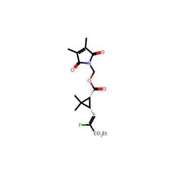 CCOC(=O)C(F)=C[C@H]1[C@@H](C(=O)OCN2C(=O)C(C)=C(C)C2=O)C1(C)C